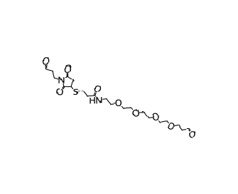 O=CCCOCCOCCOCCOCCNC(=O)CCSC1CC(=O)N(CCC=O)C1=O